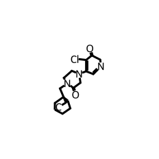 O=C1CN=CC(N2CCN(CC3CC4CCC3CC4)C(=O)C2)=C1Cl